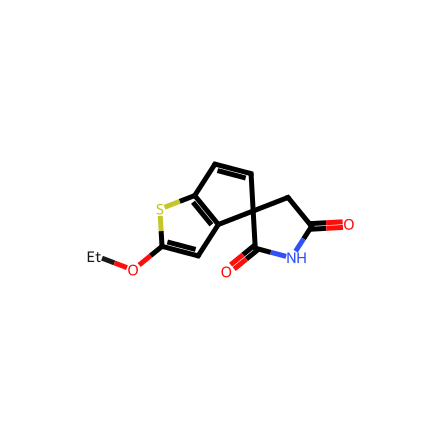 CCOc1cc2c(s1)C=CC21CC(=O)NC1=O